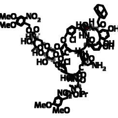 COc1cc(COC(=O)N[C@@]2(C)C[C@H](O[C@H]3[C@H](Oc4c5cc6cc4Oc4ccc(cc4Cl)[C@@H](O)[C@@H](NC(=O)[C@@H](CC(C)C)N(C)C(=O)OCc4cc(OC)c(OC)cc4[N+](=O)[O-])C(=O)C[C@@H](CC(N)=O)C(=O)N[C@H]6C(=O)C[C@H]4C(=O)N[C@H](C(=O)N[C@H](C(=O)CC6C7CC8CC(C7)CC6C8)c6cc(O)cc(O)c6-c6cc4ccc6O)[C@H](O)c4ccc(c(Cl)c4)O5)O[C@H](CO)[C@@H](O)[C@@H]3O)O[C@@H](C)[C@H]2O)c([N+](=O)[O-])cc1OC